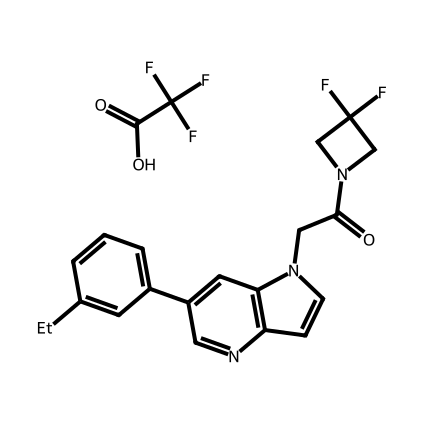 CCc1cccc(-c2cnc3ccn(CC(=O)N4CC(F)(F)C4)c3c2)c1.O=C(O)C(F)(F)F